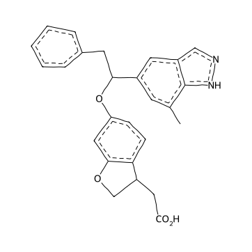 Cc1cc(C(Cc2ccccc2)Oc2ccc3c(c2)OCC3CC(=O)O)cc2cn[nH]c12